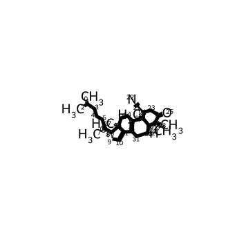 CC(C)CCC[C@@H](C)[C@H]1CC=C2C3=C(CC[C@@]21C)[C@@]1(C)[C@@H](C#N)CC(=O)C(C)(C)[C@@H]1CC3